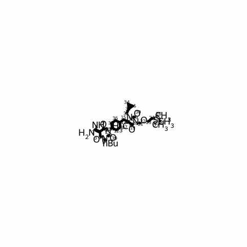 CCCCN1C(=O)C(=C(N)N)C(=O)N(C2CCC(C[C@@]3(C)C(=O)N(COCC[Si](C)(C)C)C(=O)N3CC3CC3)CC2)C1=O